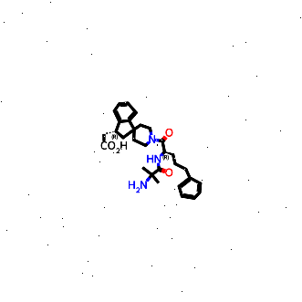 CC(C)(N)C(=O)N[C@H](CCCc1ccccc1)C(=O)N1CCC2(CC1)C[C@H](CC(=O)O)c1ccccc12